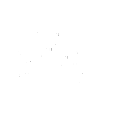 NC(N)=O.O=[N+]([O-])[O-].O=[N+]([O-])[O-].O=[N+]([O-])[O-].[Bi+3]